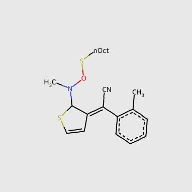 CCCCCCCCSON(C)C1SC=C/C1=C(/C#N)c1ccccc1C